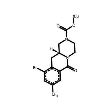 CC(C)(C)OC(=O)N1CCN2C(=O)c3cc(C(F)(F)F)cc(Br)c3C[C@@H]2C1